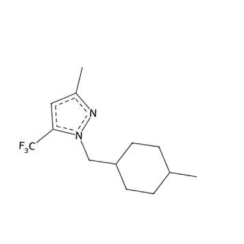 Cc1cc(C(F)(F)F)n(CC2CCC(C)CC2)n1